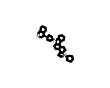 c1ccc(-n2ccc3c4ccc5c(c4ccc32)c2ccccc2n5-c2ccc(-c3cncc4ccccc34)cc2)cc1